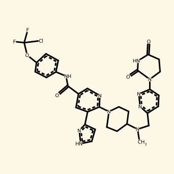 CN(Cc1ccc(N2CCC(=O)NC2=O)nn1)C1CCN(c2ncc(C(=O)Nc3ccc(OC(F)(F)Cl)cc3)cc2-c2cc[nH]n2)CC1